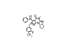 CN1C(=O)c2c(nn(Cc3ccc(C(F)(F)F)c(F)c3)c2Nc2ccccc2)N2C1=NC1CCCC12